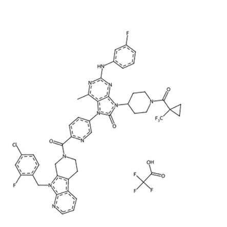 Cc1nc(Nc2cccc(F)c2)nc2c1n(-c1ccc(C(=O)N3CCc4c(n(Cc5ccc(Cl)cc5F)c5ncccc45)C3)nc1)c(=O)n2C1CCN(C(=O)C2(C(F)(F)F)CC2)CC1.O=C(O)C(F)(F)F